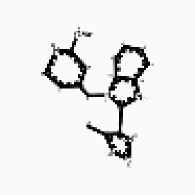 COc1cc(Cn2c(-c3nonc3C)nc3ccccc32)ccn1